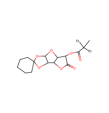 CCC(C)(CC)C(=O)OC1C(=O)OC2C3OC4(CCCCC4)OC3OC12